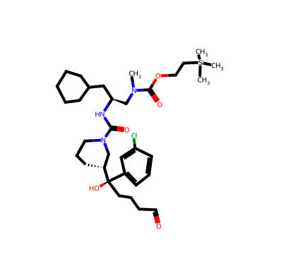 CN(C[C@H](CC1CCCCC1)NC(=O)N1CCC[C@@H]([C@@](O)(CCCC=O)c2cccc(Cl)c2)C1)C(=O)OCC[Si](C)(C)C